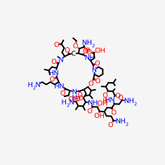 CCOC(C(N)=O)C1CC(=O)C(CCC(C)=O)N(C)C(=O)C(CC(C)C)NC(=O)C(CCCCN)NC(=O)C(C(C)O)NC(=O)C(CC(=O)C(NC(=O)C(O)C(O)C(CCC(N)=O)CC(=O)C(CC(N)=O)NC(=O)C(C)C(O)C(C)CC(C)C)C(C)C(C)C(N)=O)C(C(C)C(C)C)OC(=O)C2CCCCN2C(=O)C(CC(=O)O)NC1=O